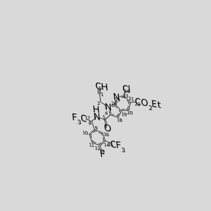 C#CCn1c(C(=O)NC(c2ccc(F)c(C(F)(F)F)c2)C(F)(F)F)cc2cc(C(=O)OCC)c(Cl)nc21